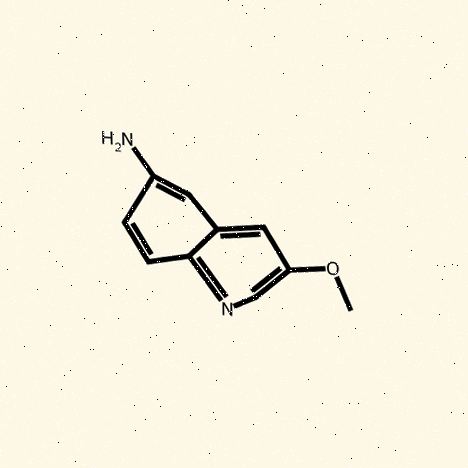 COc1cnc2ccc(N)cc2c1